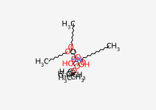 CCCCCCCCCCCCCC(=O)N[C@H]1C(O)O[C@H](CO[Si](C)(C)C(C)(C)C)[C@@H](O)[C@@H]1OC(=O)c1ccc(OCCCCCCCCCC)c(OCCCCCCCCCC)c1